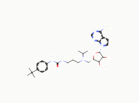 CC(C)N(CCCNC(=O)Nc1ccc(C(C)(C)C)cc1)C[C@H]1O[C@@H](n2ccc3c(N)ncnc32)C(O)C1O